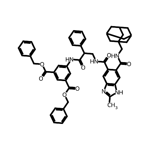 Cc1nc2cc(C(=O)NCC(C(=O)Nc3cc(C(=O)OCc4ccccc4)cc(C(=O)OCc4ccccc4)c3)c3ccccc3)c(C(=O)NCC34CC5CC(CC(C5)C3)C4)cc2[nH]1